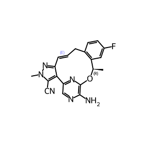 C[C@H]1Oc2nc(cnc2N)-c2c(nn(C)c2C#N)/C=C/Cc2ccc(F)cc21